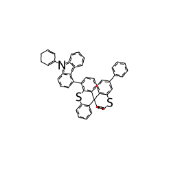 C1=CC(n2c3ccccc3c3c(-c4cccc5c4Sc4ccccc4C54c5ccccc5Sc5cc(-c6ccccc6)ccc54)cccc32)=CCC1